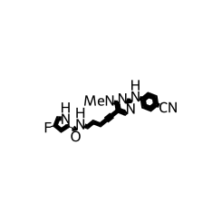 CNc1nc(Nc2ccc(C#N)cc2)ncc1C#CCCCNC(=O)[C@@H]1C[C@H](F)CN1